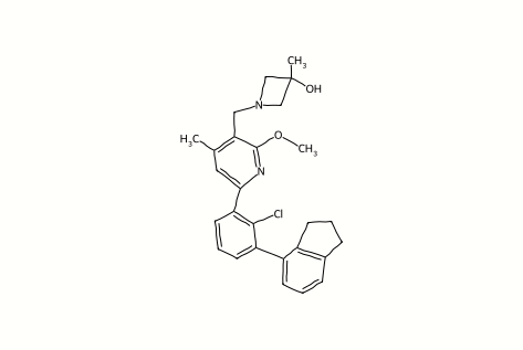 COc1nc(-c2cccc(-c3cccc4c3CCC4)c2Cl)cc(C)c1CN1CC(C)(O)C1